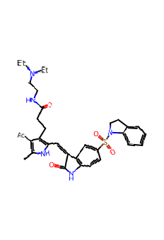 CCN(CC)CCNC(=O)CCc1c(C=C2C(=O)Nc3ccc(S(=O)(=O)N4CCc5ccccc54)cc32)[nH]c(C)c1C(C)=O